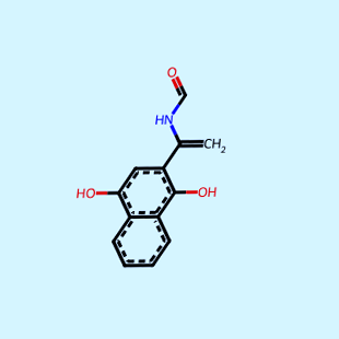 C=C(NC=O)c1cc(O)c2ccccc2c1O